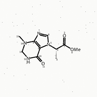 COC(=O)[C@H](C)n1cnc2c1C(=O)NCN2C